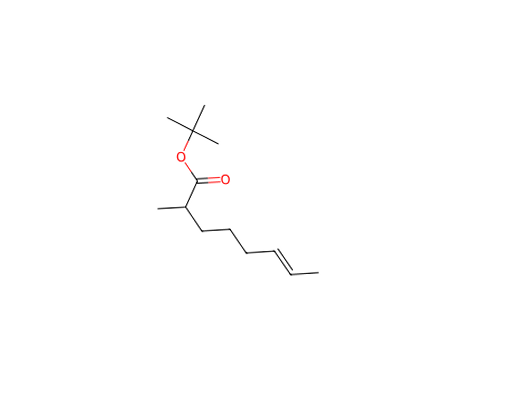 CC=CCCCC(C)C(=O)OC(C)(C)C